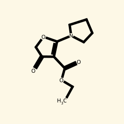 CCOC(=O)C1=C(N2CCCC2)OCC1=O